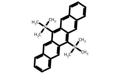 C[Si](C)(C)c1c2cc3ccccc3cc2c([Si](C)(C)C)c2cc3ccccc3cc12